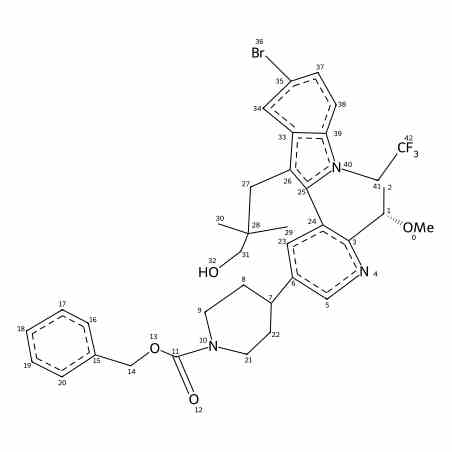 CO[C@@H](C)c1ncc(C2CCN(C(=O)OCc3ccccc3)CC2)cc1-c1c(CC(C)(C)CO)c2cc(Br)ccc2n1CC(F)(F)F